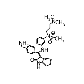 CN(C)CCCN(c1cccc(NC(=C2C(=O)Nc3ccccc32)c2ccc(CN)cc2)c1)S(C)(=O)=O